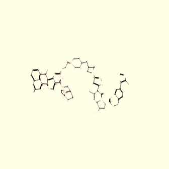 Cc1ncsc1-c1ccc([C@H](C)NC(=O)[C@@H]2C[C@@H](O)CN2C(=O)C(c2cc(N3CC(CC4CCN(CCOc5nc(N6CC7CCC(C6)N7)c6cnc7c(c6n5)C(C)c5cccc6cc(O)cc-7c56)CC4)C3)no2)C(C)C)cc1